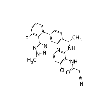 CC(Nc1nccc(Cl)c1NC(=O)CC#N)c1ccc(-c2cccc(F)c2-c2nnn(C)n2)cc1